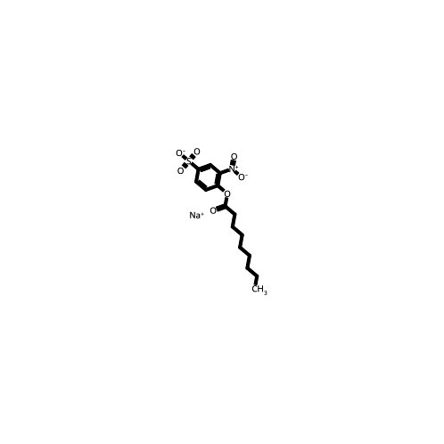 CCCCCCCCC(=O)Oc1ccc(S(=O)(=O)[O-])cc1[N+](=O)[O-].[Na+]